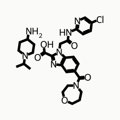 CC(C)N1CCC(N)CC1.O=C(Cn1c(C(=O)O)nc2cc(C(=O)N3CCCOCC3)ccc21)Nc1ccc(Cl)cn1